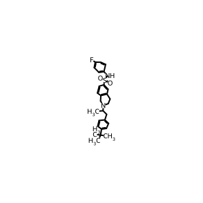 CC(Cc1ccc(C(C)(C)C)cc1)N1CCc2cc(S(=O)(=O)Nc3ccc(F)cc3)ccc2C1